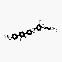 C=CCCOc1ccc(C(=O)Oc2ccc(-c3ccc(-c4ccc(OCC)cc4)c(F)c3F)cc2)cc1F